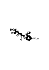 CCCCCCCCCc1ccc(OCC(O)CC(=O)CC(CO)CO)c(CO)c1